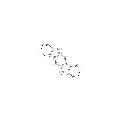 C1=Cc2[nH]c3cc4c(cc3c2CC1)[nH]c1ccccc14